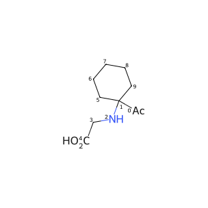 CC(=O)C1(NCC(=O)O)CCCCC1